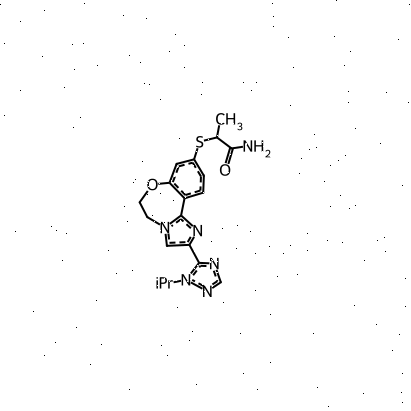 CC(Sc1ccc2c(c1)OCCn1cc(-c3ncnn3C(C)C)nc1-2)C(N)=O